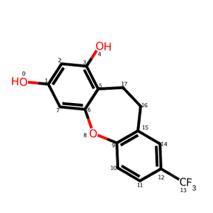 Oc1cc(O)c2c(c1)Oc1ccc(C(F)(F)F)cc1CC2